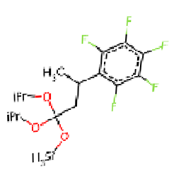 CC(C)OC(CC(C)c1c(F)c(F)c(F)c(F)c1F)(O[SiH3])OC(C)C